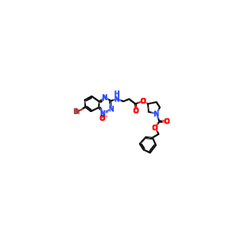 O=C(CCNc1nc2ccc(Br)cc2[n+]([O-])n1)O[C@@H]1CCN(C(=O)OCc2ccccc2)C1